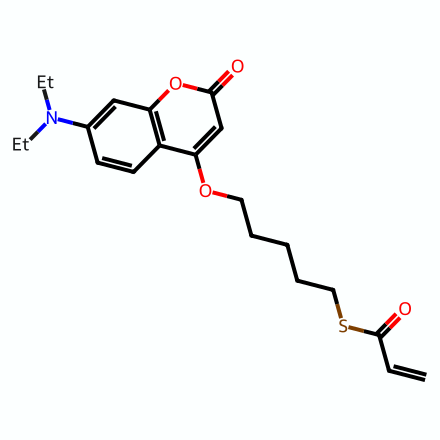 C=CC(=O)SCCCCCOc1cc(=O)oc2cc(N(CC)CC)ccc12